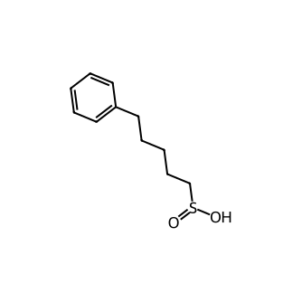 O=S(O)CCCCCc1ccccc1